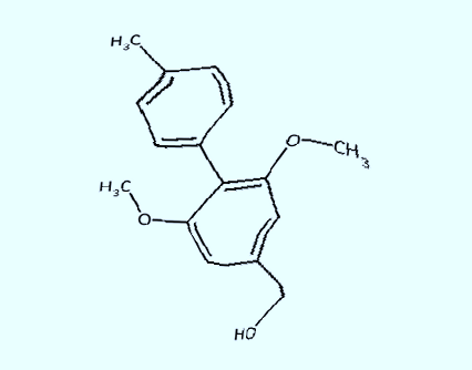 COc1cc(CO)cc(OC)c1-c1ccc(C)cc1